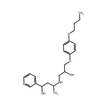 CCCCOc1ccc(OCC(O)CNC(C)CC(O)c2cccnc2)cc1